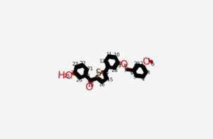 COc1cccc(COc2cccc(-c3ccc(C(=O)c4cccc(O)c4)s3)c2)c1